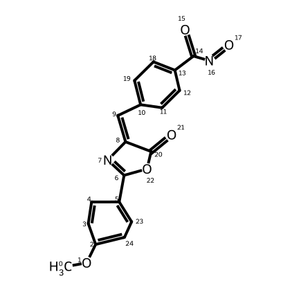 COc1ccc(C2=N/C(=C/c3ccc(C(=O)N=O)cc3)C(=O)O2)cc1